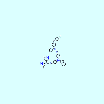 Cc1cncc(C(=C/C=C/c2ccc(N(c3ccc(/C=C/C=C(\c4ccccc4)c4ccc(Cc5ccc(F)cc5)cc4)cc3)c3ccc4c(c3)CCCC4)cc2)c2cncc(C)c2)c1